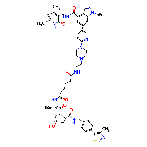 Cc1cc(C)c(CNC(=O)c2cc(-c3ccc(N4CCN(CCNC(=O)CCCCC(=O)N[C@H](C(=O)C5C[C@H](O)CC5C(=O)NCc5ccc(-c6scnc6C)cc5)C(C)(C)C)CC4)nc3)cc3c2cnn3C(C)C)c(=O)[nH]1